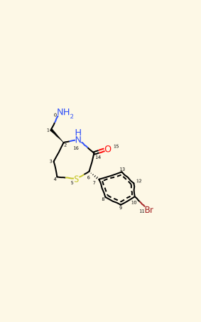 NC[C@@H]1CCS[C@@H](c2ccc(Br)cc2)C(=O)N1